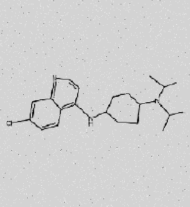 CC(C)N(C(C)C)C1CCC(Nc2ccnc3cc(Cl)ccc23)CC1